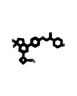 CC1CCN1c1nc(-c2ccc(OCC(=O)N3CCNCC3)cc2)c2c(n1)C(F)(F)CC2